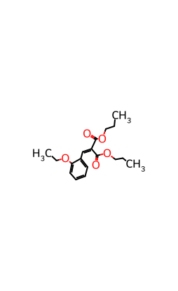 CCCOC(=O)C(=Cc1ccccc1OCC)C(=O)OCCC